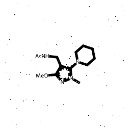 COc1nn(C)c(N2CCCCC2)c1CNC(C)=O